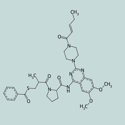 CCC=CC(=O)N1CCN(c2nc(NC(=O)C3CCCN3C(=O)C(C)CSC(=O)c3ccccc3)c3cc(OC)c(OC)cc3n2)CC1